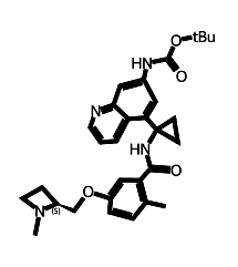 Cc1ccc(OC[C@@H]2CCN2C)cc1C(=O)NC1(c2cc(NC(=O)OC(C)(C)C)cc3ncccc23)CC1